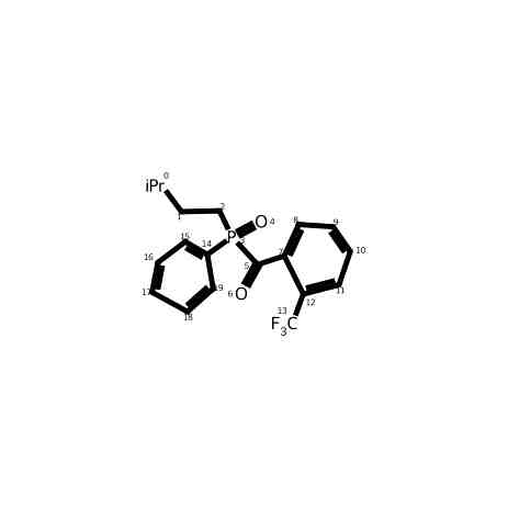 CC(C)CCP(=O)(C(=O)c1ccccc1C(F)(F)F)c1ccccc1